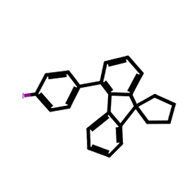 Ic1ccc(-c2cccc3c2-c2ccccc2C32CCCC2)cc1